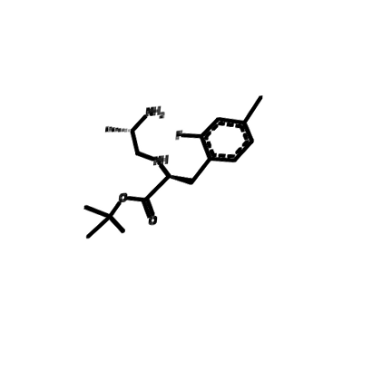 Cc1ccc(C[C@H](NC[C@H](C)N)C(=O)OC(C)(C)C)c(F)c1